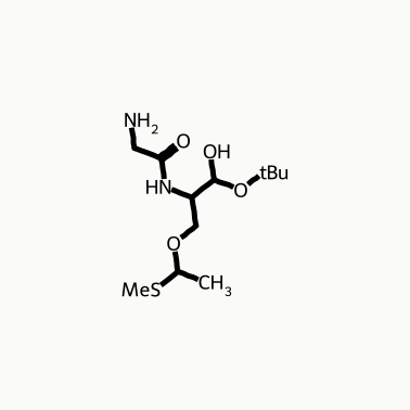 CSC(C)OCC(NC(=O)CN)C(O)OC(C)(C)C